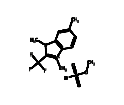 COS(=O)(=O)[O-].Cc1ccc2c(c1)n(C)c(C(F)(F)F)[n+]2C